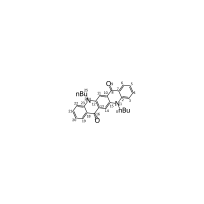 CCCCn1c2ccccc2c(=O)c2cc3c(cc21)c(=O)c1ccccc1n3CCCC